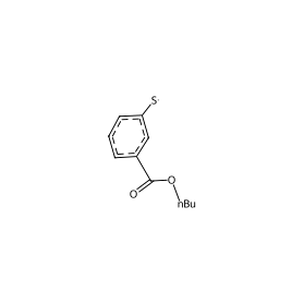 CCCCOC(=O)c1cccc([S])c1